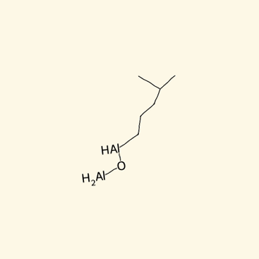 CC(C)CC[CH2][AlH][O][AlH2]